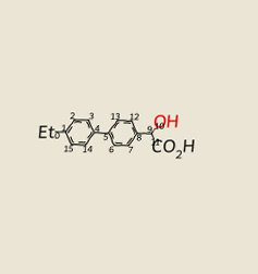 CCc1ccc(-c2ccc(C(O)C(=O)O)cc2)cc1